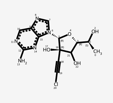 C[C@H](O)[C@H]1O[C@@H](n2cnc3cnc(N)nc32)[C@@](O)(C#CCl)C1O